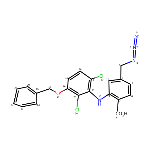 [N-]=[N+]=NCc1ccc(C(=O)O)c(Nc2c(Cl)ccc(OCc3ccccc3)c2Cl)c1